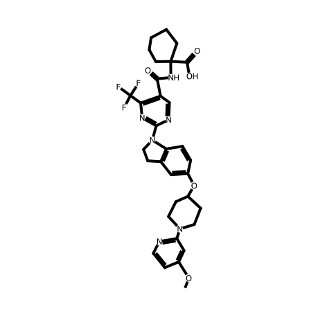 COc1ccnc(N2CCC(Oc3ccc4c(c3)CCN4c3ncc(C(=O)NC4(C(=O)O)CCCCC4)c(C(F)(F)F)n3)CC2)c1